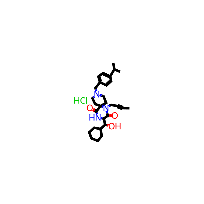 CC#CCN1C(=O)C(C(O)C2CCCCC2)NC(=O)C12CCN(Cc1ccc(C(C)C)cc1)CC2.Cl